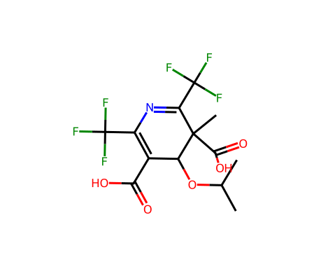 CC(C)OC1C(C(=O)O)=C(C(F)(F)F)N=C(C(F)(F)F)C1(C)C(=O)O